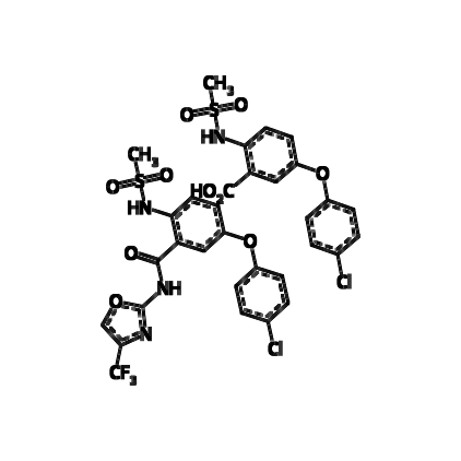 CS(=O)(=O)Nc1ccc(Oc2ccc(Cl)cc2)cc1C(=O)Nc1nc(C(F)(F)F)co1.CS(=O)(=O)Nc1ccc(Oc2ccc(Cl)cc2)cc1C(=O)O